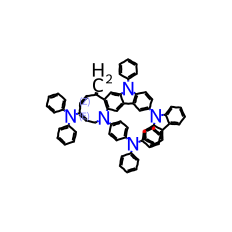 C=C1/C=C\C(N(c2ccccc2)c2ccccc2)=C/CN(c2ccc(N(c3ccccc3)c3ccccc3)cc2)c2cc3c4cc(-n5c6ccccc6c6ccccc65)ccc4n(-c4ccccc4)c3cc21